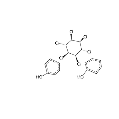 Cl[C@H]1[C@H](Cl)[C@@H](Cl)[C@@H](Cl)[C@H](Cl)[C@H]1Cl.Oc1ccccc1.Oc1ccccc1